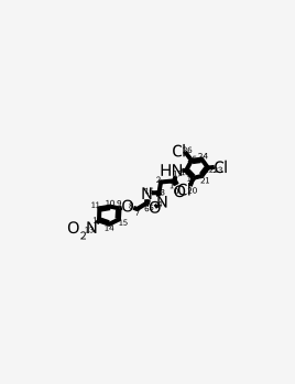 O=C(Cc1noc(COc2ccc([N+](=O)[O-])cc2)n1)Nc1c(Cl)cc(Cl)cc1Cl